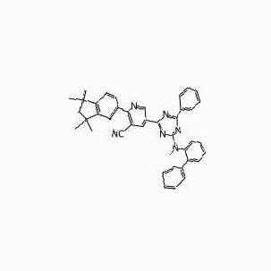 CN(c1nc(-c2ccccc2)nc(-c2cnc(-c3ccc4c(c3)C(C)(C)CC4(C)C)c(C#N)c2)n1)c1ccccc1-c1ccccc1